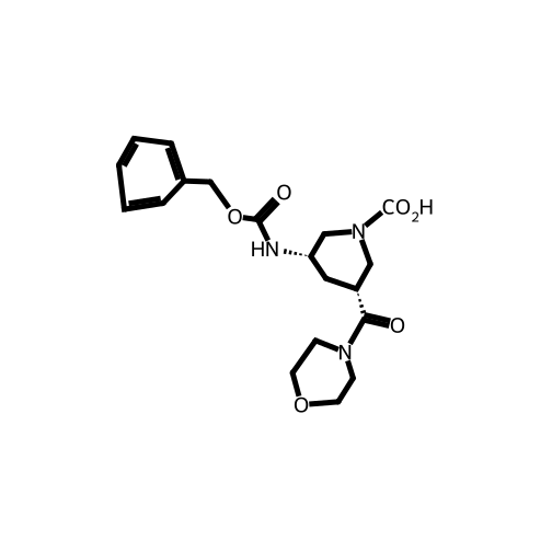 O=C(N[C@H]1C[C@@H](C(=O)N2CCOCC2)CN(C(=O)O)C1)OCc1ccccc1